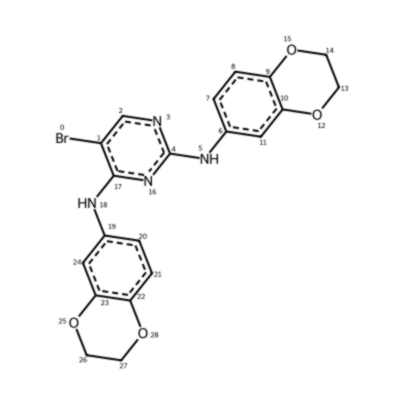 Brc1cnc(Nc2ccc3c(c2)OCCO3)nc1Nc1ccc2c(c1)OCCO2